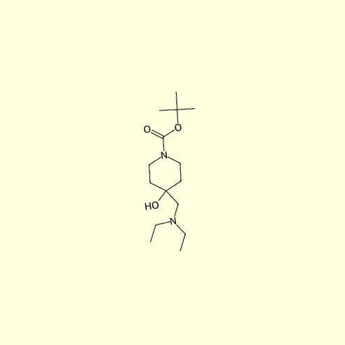 CCN(CC)CC1(O)CCN(C(=O)OC(C)(C)C)CC1